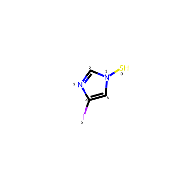 Sn1cnc(I)c1